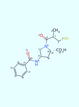 CC(CS)C(=O)N1CC(NC(=O)c2ccccc2)C[C@H]1C(=O)O